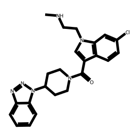 CNCCn1cc(C(=O)N2CCC(n3nnc4ccccc43)CC2)c2ccc(Cl)cc21